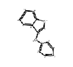 [c]1ccc(Oc2csc3ccccc23)cc1